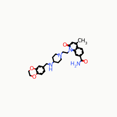 Cc1cc(=O)n(CCN2CCC(NCc3ccc4c(c3)OCCO4)CC2)c2cc(C(N)=O)ccc12